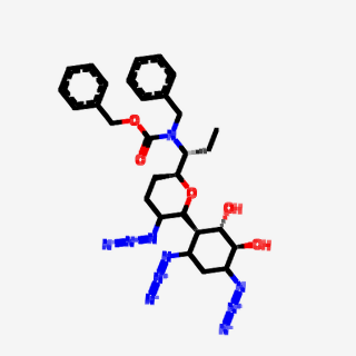 CC[C@H]([C@@H]1CCC(N=[N+]=[N-])C([C@@H]2C(N=[N+]=[N-])CC(N=[N+]=[N-])[C@H](O)[C@H]2O)O1)N(Cc1ccccc1)C(=O)OCc1ccccc1